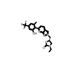 CCN1C[C@H](Cn2cc3ccc(-c4c(C)cc(C(F)(F)F)cc4O)nc3n2)OC1=O